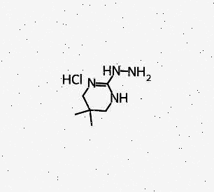 CC1(C)CN=C(NN)NC1.Cl